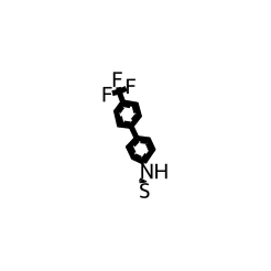 FC(F)(F)c1ccc(-c2ccc(NC=S)cc2)cc1